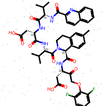 Cc1ccc2c(c1)CCN(C(=O)[C@@H](NC(=O)[C@H](CC(=O)O)NC(=O)[C@@H](NC(=O)c1ccc3ccccc3n1)C(C)C)C(C)C)[C@@H]2C(=O)N[C@@H](CC(=O)O)C(=O)COc1c(F)cccc1F